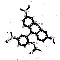 C/N=c1\ccc2c(-c3cc(P(C)O)ccc3OC(C)=O)c3ccc(N(C)C)cc3oc-2c1